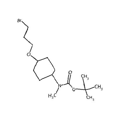 CN(C(=O)OC(C)(C)C)C1CCC(OCCCBr)CC1